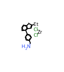 CCC1=Cc2c(cccc2-c2ccc(CN)cc2)[CH]1.[Cl][Zr][Cl]